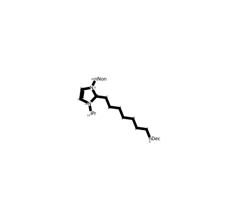 CCCCCCCCCCCCCCCCCC1N(CCCCCCCCC)C=CN1C(C)C